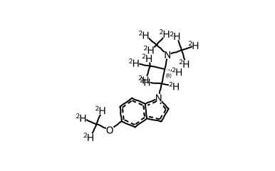 [2H]C([2H])([2H])Oc1ccc2c(ccn2C([2H])([2H])[C@]([2H])(N(C([2H])([2H])[2H])C([2H])([2H])[2H])C([2H])([2H])[2H])c1